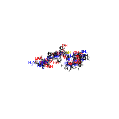 CC(C)[C@H](NC(=O)[C@H](C)NC(=O)CNC(=O)[C@H](C)NC(=O)[C@H](CS)NC(=O)[C@H](Cc1ccc(O)cc1)NC(=O)[C@H](Cc1ccc(O)cc1)NC(=O)[C@@H](NC(=O)[C@H](C)NC(=O)[C@H](Cc1ccccc1)NC(=O)[C@H](CC(=O)O)NC(=O)[C@H](CCC(=O)O)NC(=O)[C@@H]1CCCN1C(=O)[C@@H](N)CCC(N)=O)[C@@H](C)O)C(=O)N[C@@H](CO)C(=O)NCC(=O)N[C@@H](CO)C(=O)N[C@@H](CC(N)=O)C(=O)N[C@H](C(=O)N[C@@H](Cc1ccccc1)C(=O)O)C(C)C